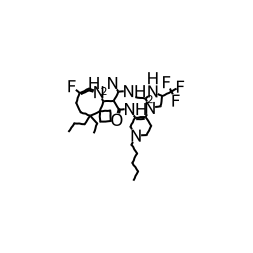 CCCCCN1CCC(N2CC(C(F)(F)F)NC2C)=C(NC(=O)C(C(N)N)C2N=C=C(F)CCC(CC)(CCC)C23CCC3)C1